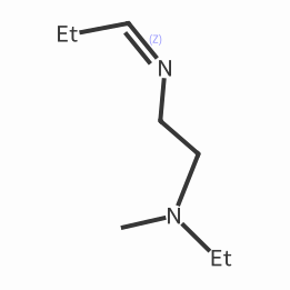 CC/C=N\CCN(C)CC